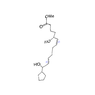 COC(=O)CCCC(O)/C=C\CC/C=C/C(O)C1CCCC1